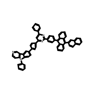 c1ccc(-c2cc(-c3ccc(-c4ccc5c(c4)c4cnccc4n5-c4ccccc4)cc3)nc(-c3ccc(-c4c5ccccc5c(-c5ccc6ccccc6c5)c5ccccc45)cc3)n2)cc1